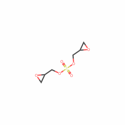 O=S(=O)(OCC1CO1)OCC1CO1